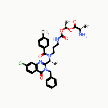 Cc1ccc(C(=O)N(CCCNC(=O)O[C@H](OC(=O)[C@@H](N)C(C)C)C(C)C)[C@@H](c2nc3cc(Cl)ccc3c(=O)n2Cc2ccccc2)C(C)C)cc1